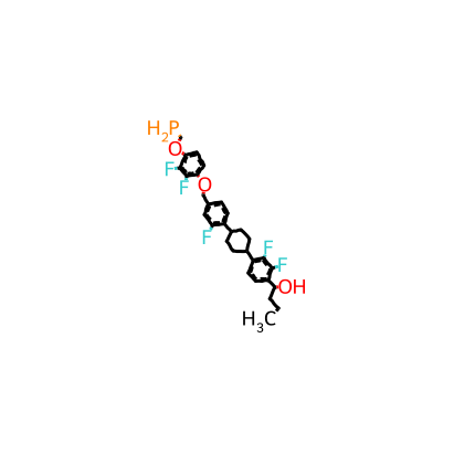 CCCC(O)c1ccc(C2CCC(c3ccc(COc4ccc(OCP)c(F)c4F)cc3F)CC2)c(F)c1F